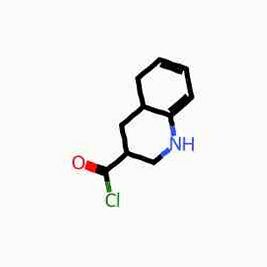 O=C(Cl)C1CNC2=CC=CCC2C1